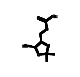 CCC[C@@H]1OC(C)(C)O[C@@H]1COC(=O)C(C)(C)C